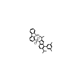 Cc1cc(C)cc(-c2c(C(C)C)ccc3c2C=C(C(C)C)[CH]3[Zr]([Cl])([Cl])[c]2cccc3c2[SiH2]c2ccccc2-3)c1